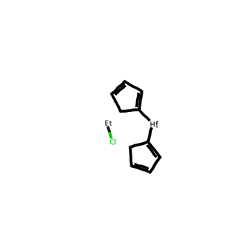 C1=CC[C]([Hf][C]2=CC=CC2)=C1.CCCl